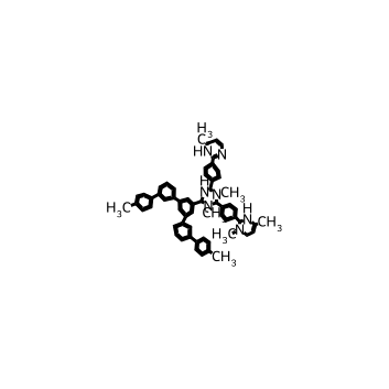 CC1=CCN(C)C(c2ccc(C3N(C)C(c4ccc(C5=NC=CC(C)N5)cc4)NC(c4cc(-c5cccc(-c6ccc(C)cc6)c5)cc(-c5cccc(-c6ccc(C)cc6)c5)c4)N3C)cc2)N1